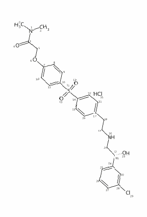 CN(C)C(=O)COc1ccc(S(=O)(=O)c2ccc(CCNC[C@H](O)c3cccc(Cl)c3)cc2)cc1.Cl